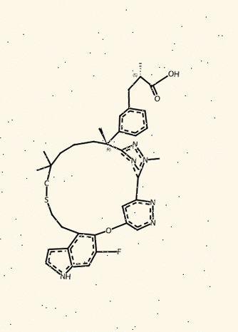 C[C@@H](Cc1cccc([C@@]2(C)CCCC(C)(C)CSCCc3c(c(F)cc4[nH]ccc34)Oc3cnnc(c3)-c3nc2nn3C)c1)C(=O)O